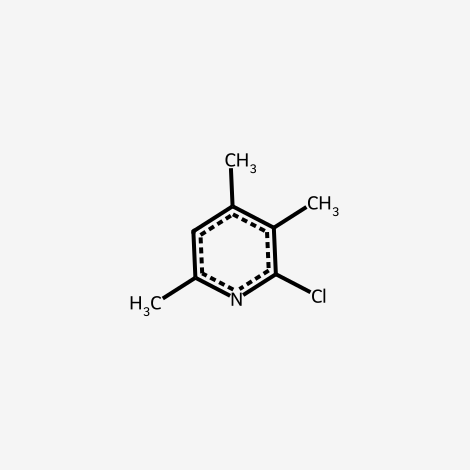 Cc1cc(C)c(C)c(Cl)n1